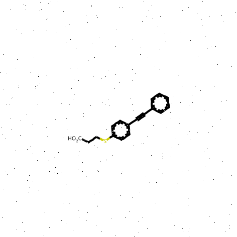 O=C(O)CCSc1ccc(C#Cc2ccccc2)cc1